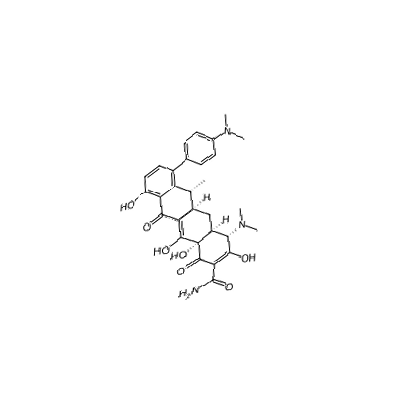 C[C@H]1c2c(-c3ccc(N(C)C)cc3)ccc(O)c2C(=O)C2=C(O)[C@]3(O)C(=O)C(C(N)=O)=C(O)[C@@H](N(C)C)[C@@H]3C[C@@H]21